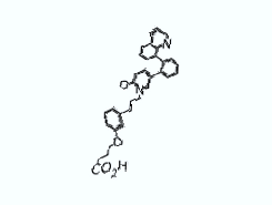 O=C(O)CCCOc1cccc(CCCn2cc(-c3ccccc3-c3cccc4cccnc34)ccc2=O)c1